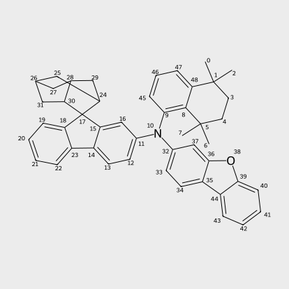 CC1(C)CCC(C)(C)c2c(N(c3ccc4c(c3)C3(c5ccccc5-4)C4CC5CC(C4)C3C5)c3ccc4c(c3)oc3ccccc34)cccc21